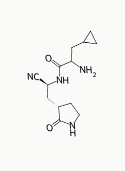 N#C[C@H](C[C@@H]1CCNC1=O)NC(=O)C(N)CC1CC1